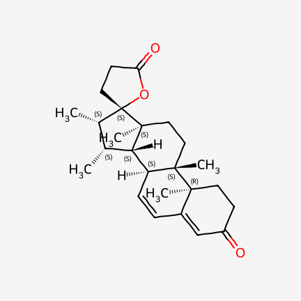 C[C@H]1[C@H]2[C@@H]3C=CC4=CC(=O)CC[C@]4(C)[C@@]3(C)CC[C@]2(C)[C@]2(CCC(=O)O2)[C@H]1C